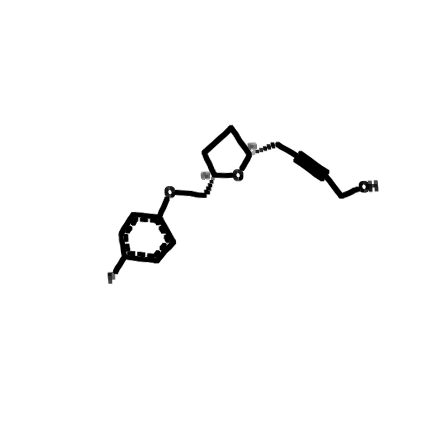 OCC#CC[C@H]1CC[C@@H](COc2ccc(F)cc2)O1